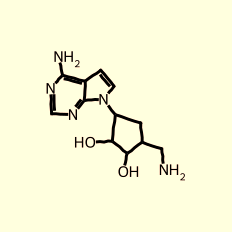 NCC1CC(n2ccc3c(N)ncnc32)C(O)C1O